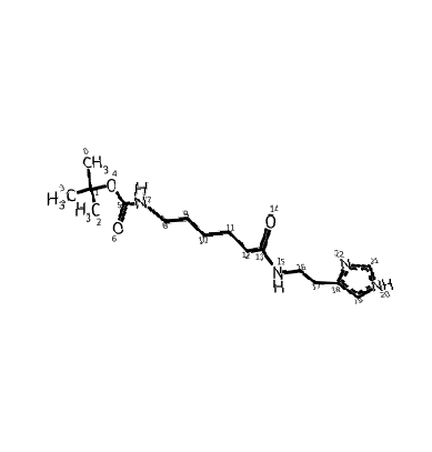 CC(C)(C)OC(=O)NCCCCCC(=O)NCCc1c[nH]cn1